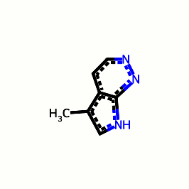 Cc1c[nH]c2nnccc12